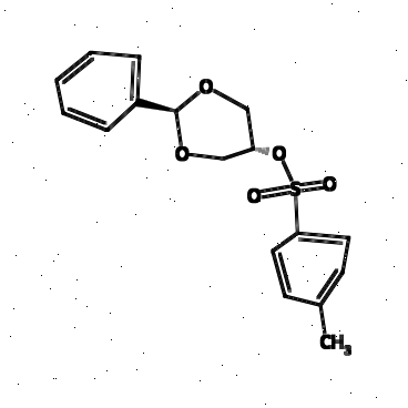 Cc1ccc(S(=O)(=O)O[C@H]2CO[C@H](c3ccccc3)OC2)cc1